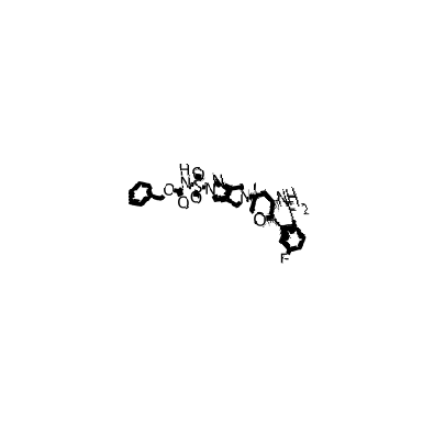 C[C@]1(N2Cc3cn(S(=O)(=O)NC(=O)OCc4ccccc4)nc3C2)CO[C@H](c2cc(F)ccc2F)[C@@H](N)C1